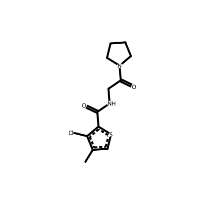 Cc1csc(C(=O)NCC(=O)N2CCCC2)c1Cl